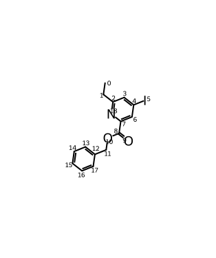 CCc1cc(I)cc(C(=O)OCc2ccccc2)n1